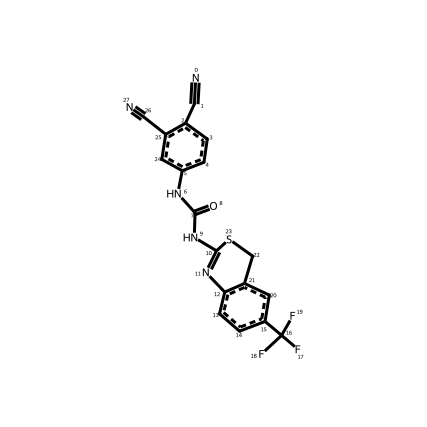 N#Cc1ccc(NC(=O)NC2=Nc3ccc(C(F)(F)F)cc3CS2)cc1C#N